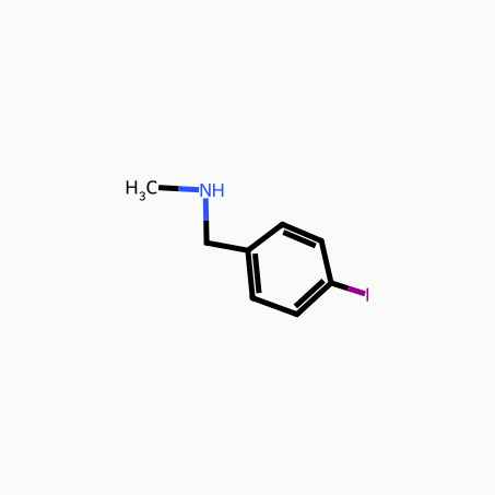 CNCc1ccc(I)cc1